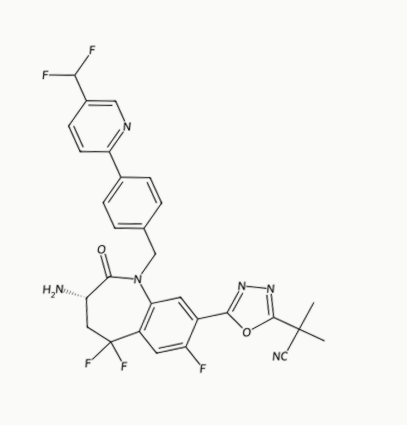 CC(C)(C#N)c1nnc(-c2cc3c(cc2F)C(F)(F)C[C@H](N)C(=O)N3Cc2ccc(-c3ccc(C(F)F)cn3)cc2)o1